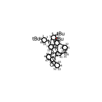 CC(C)(C)c1ccc(N(c2ccc(C(C)(C)C)cc2)c2ccc3c(c2)N2c4ccc(C(C)(C)C)cc4-c4ccc(cc4)C(C)(C)c4cc2c2c(c4)-n4c5c(cccc5c5oc6ccccc6c54)B32)cc1